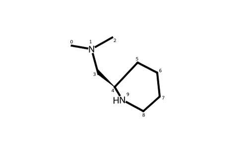 CN(C)C[C@H]1CCCCN1